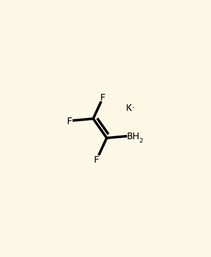 BC(F)=C(F)F.[K]